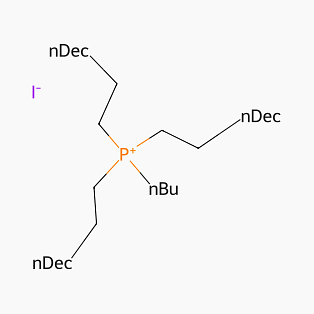 CCCCCCCCCCCC[P+](CCCC)(CCCCCCCCCCCC)CCCCCCCCCCCC.[I-]